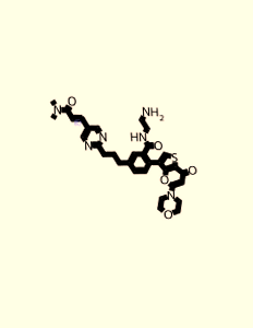 CN(C)C(=O)/C=C/c1cnc(CCCc2ccc(-c3csc4c(=O)cc(N5CCOCC5)oc34)c(C(=O)NCCN)c2)nc1